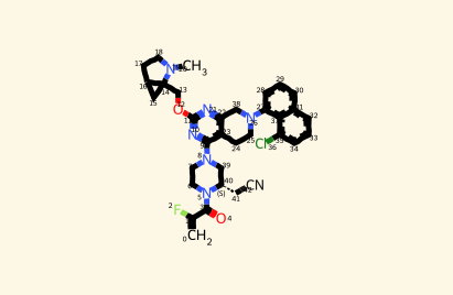 C=C(F)C(=O)N1CCN(c2nc(OCC34CC3CCN4C)nc3c2CCN(c2cccc4cccc(Cl)c24)C3)C[C@@H]1CC#N